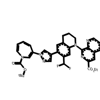 CCOC(=O)c1cc2cccnc2c(N2CCCc3cc(-c4cnn(C5=CN(C(=O)OC(C)(C)C)C=CC=C5)c4)c(C(F)F)cc32)n1